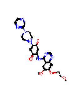 COCCOc1cc2ncnc(NC3=CC(=O)C(N4CCN(c5cnccn5)CC4)=CC3=O)c2cc1OC